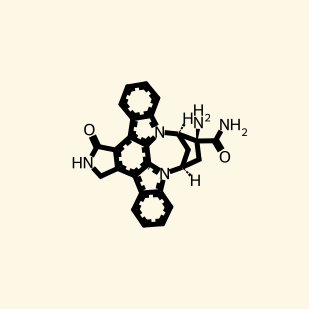 NC(=O)[C@]1(N)C[C@@H]2C[C@H]1n1c3ccccc3c3c4c(c5c6ccccc6n2c5c31)CNC4=O